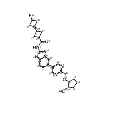 O=C(Nc1nc2ccc(-c3cnc(CO[C@H]4CCC[C@@H]4O)nc3)cc2s1)C1CC(N2CC(F)C2)C1